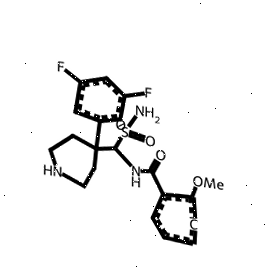 COc1ccccc1C(=O)NC(C1(c2cc(F)cc(F)c2)CCNCC1)S(N)(=O)=O